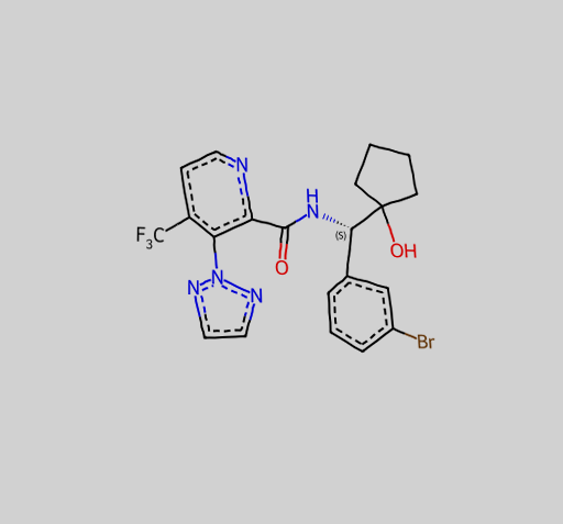 O=C(N[C@@H](c1cccc(Br)c1)C1(O)CCCC1)c1nccc(C(F)(F)F)c1-n1nccn1